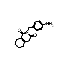 Nc1ccc(CN2C(=O)CC3=C(CCCC3)C2=O)cc1